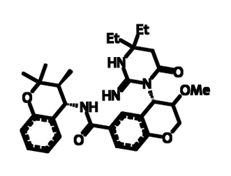 CCC1(CC)CC(=O)N([C@H]2c3cc(C(=O)N[C@@H]4c5ccccc5OC(C)(C)[C@H]4C)ccc3OCC2OC)C(=N)N1